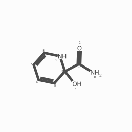 NC(=O)C1(O)C=CC=CN1